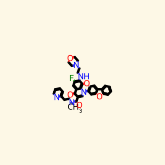 CN(CCc1ccccn1)C(=O)c1cn2c3c(c(NCCN4CCOCC4)c(F)cc3c1=O)Oc1cc3c(cc1-2)oc1ccccc13